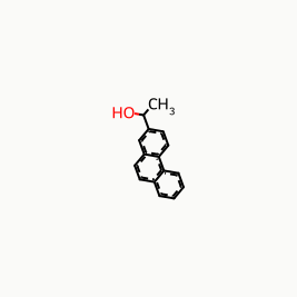 CC(O)c1ccc2c(ccc3ccccc32)c1